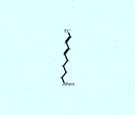 CCC=CC=CCCCCCCCCC